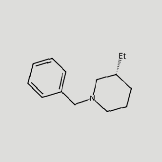 CC[C@@H]1CCCN(Cc2ccccc2)C1